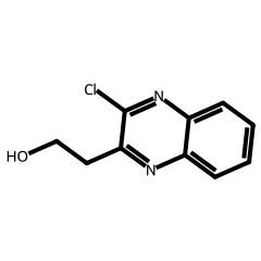 OCCc1nc2ccccc2nc1Cl